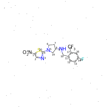 O=[N+]([O-])c1cnc(N2CCC(NCc3ccc(F)cc3C(F)(F)F)C2)s1